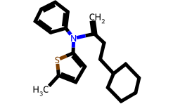 C=C(CCC1CCCCC1)N(c1ccccc1)c1ccc(C)s1